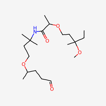 CCC(C)(CCOC(C)C(=O)NC(C)(C)CCOC(C)CCC=O)OC